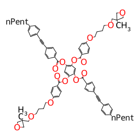 CCCCCc1ccc(C#Cc2ccc(C(=O)Oc3cc(OC(=O)c4ccc(OCCCCOCC5(C)COC5)cc4)c(OC(=O)c4ccc(C#Cc5ccc(CCCCC)cc5)cc4)cc3OC(=O)c3ccc(OCCCCOCC4(C)COC4)cc3)cc2)cc1